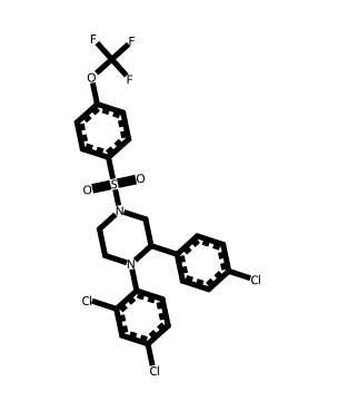 O=S(=O)(c1ccc(OC(F)(F)F)cc1)N1CCN(c2ccc(Cl)cc2Cl)C(c2ccc(Cl)cc2)C1